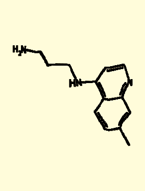 Cc1ccc2c(NCCCN)ccnc2c1